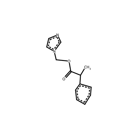 CC(C(=O)OCn1ccnc1)c1ccccc1